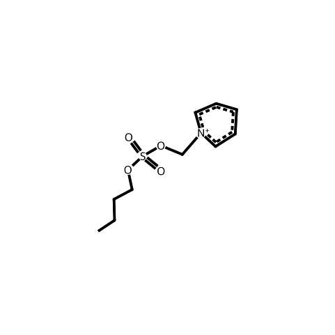 CCCCOS(=O)(=O)OC[n+]1ccccc1